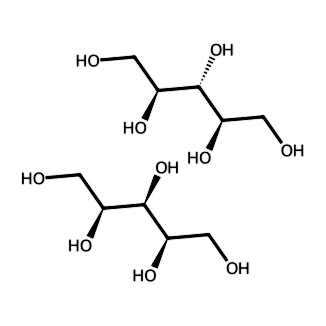 OC[C@@H](O)[C@@H](O)[C@@H](O)CO.OC[C@@H](O)[C@H](O)[C@@H](O)CO